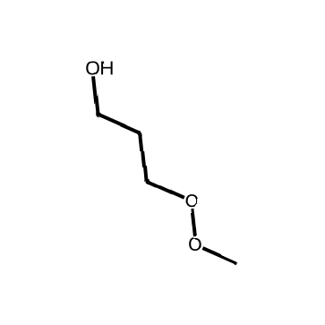 COOCCCO